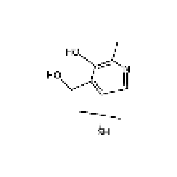 Cc1ncc(C(C)(C)S)c(CO)c1O